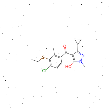 CCSc1c(Cl)ccc(C(=O)c2c(C3CC3)nn(C)c2O)c1C